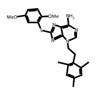 COc1ccc(OC)c(Sc2nc3c(N)ncn(CCc4c(C)cc(C)cc4C)c-3n2)c1